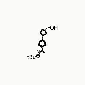 C/C(=N\OC(C)(C)C)c1ccc([C@@H]2CC[C@H](CO)C2)cc1